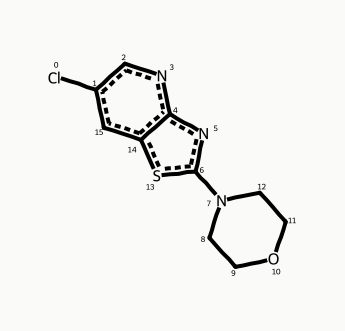 Clc1cnc2nc(N3CCOCC3)sc2c1